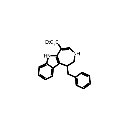 CCOC(=O)C1=CNCC(Cc2ccccc2)c2c1[nH]c1ccccc21